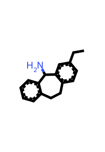 CCc1ccc2c(c1)C(N)c1ccccc1CC2